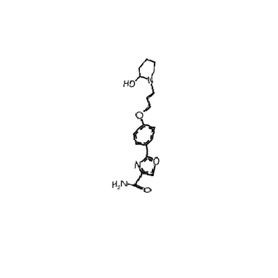 NC(=O)c1coc(-c2ccc(OCCCN3CCCCC3O)cc2)n1